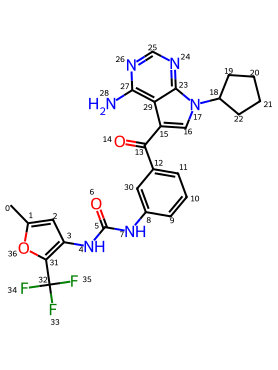 Cc1cc(NC(=O)Nc2cccc(C(=O)c3cn(C4CCCC4)c4ncnc(N)c34)c2)c(C(F)(F)F)o1